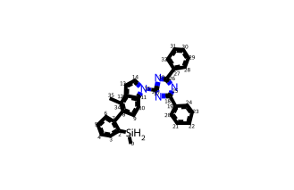 C[SiH2]c1ccccc1-c1ccc2c(ccn2-c2nc(-c3ccccc3)nc(-c3ccccc3)n2)c1C